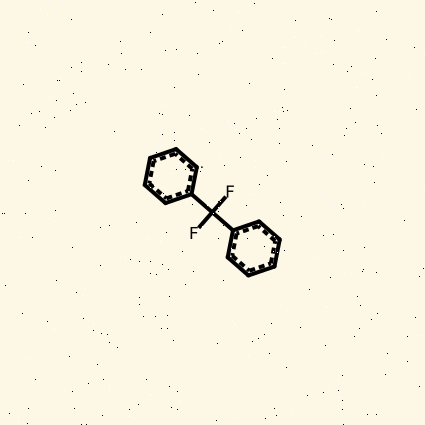 FC(F)(c1[c]cccc1)c1ccccc1